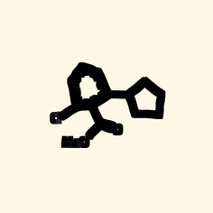 COC(=O)c1c(Cl)cccc1C1CCCC1